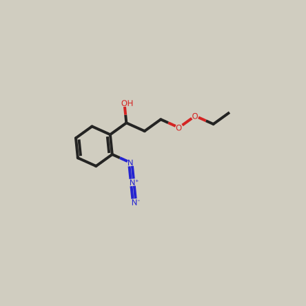 CCOOCCC(O)C1=C(N=[N+]=[N-])CC=CC1